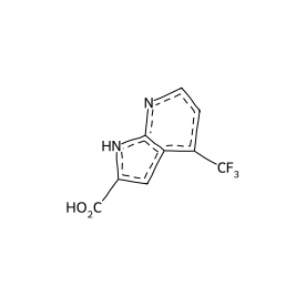 O=C(O)c1cc2c(C(F)(F)F)ccnc2[nH]1